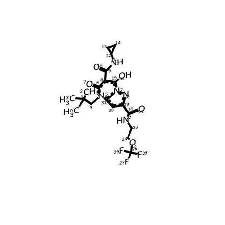 CC(C)(C)Cn1c(=O)c(C(=O)NC2CC2)c(O)n2nc(C(=O)NCCOC(F)(F)F)cc12